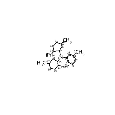 Cc1[c]ccc(N(C2CC(C)CCC2C(C)C)C2CC(C)CCC2C(C)C)c1